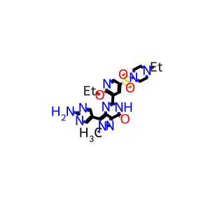 CCOc1ncc(S(=O)(=O)N2CCN(CC)CC2)cc1-c1nc2c(-c3cnc(N)nc3)n(C)nc2c(=O)[nH]1